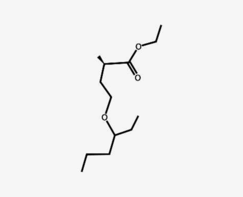 CCCC(CC)OCC[C@@H](C)C(=O)OCC